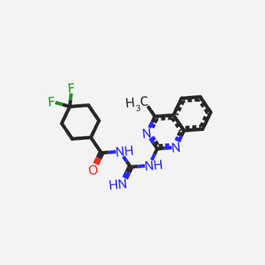 Cc1nc(NC(=N)NC(=O)C2CCC(F)(F)CC2)nc2ccccc12